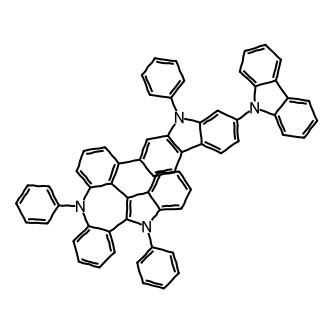 c1ccc(N2c3ccccc3-c3c(c4ccccc4n3-c3ccccc3)-c3c(-c4ccc5c6ccc(-n7c8ccccc8c8ccccc87)cc6n(-c6ccccc6)c5c4)cccc32)cc1